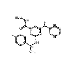 CCCCNC(=O)c1cc(Nc2cnccn2)nc(N[C@@H](C)c2ccc(F)cc2)c1